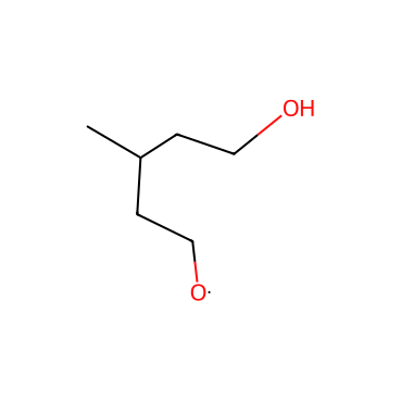 CC(CC[O])CCO